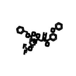 O=C(NCC(=O)N1C[C@H](OC(F)F)C[C@H]1C(=O)OCc1ccccc1)c1cccc(Oc2ccccc2)c1